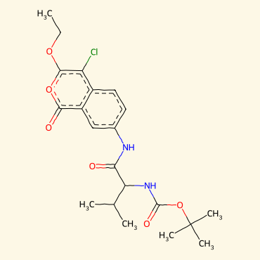 CCOc1oc(=O)c2cc(NC(=O)C(NC(=O)OC(C)(C)C)C(C)C)ccc2c1Cl